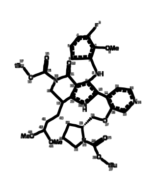 COc1c(F)cccc1Nc1c(-c2ccncc2OC[C@H]2CCCN2C(=O)OC(C)(C)C)[nH]c2c1C(=O)N(C(=O)OC(C)(C)C)CC2CCC(OC)OC